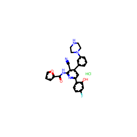 Cl.N#Cc1c(-c2cccc(N3CCNCC3)c2)cc(-c2ccc(F)cc2O)nc1NC(=O)c1ccco1